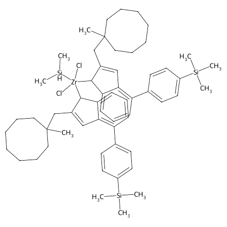 C[SiH](C)[Zr]([Cl])([Cl])([CH]1C(CC2(C)CCCCCCC2)=Cc2c(-c3ccc([Si](C)(C)C)cc3)cccc21)[CH]1C(CC2(C)CCCCCCC2)=Cc2c(-c3ccc([Si](C)(C)C)cc3)cccc21